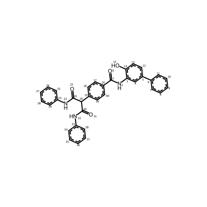 O=C(Nc1cc(-c2ccccc2)ccc1O)c1ccc(C(C(=O)Nc2ccccc2)C(=O)Nc2ccccc2)cc1